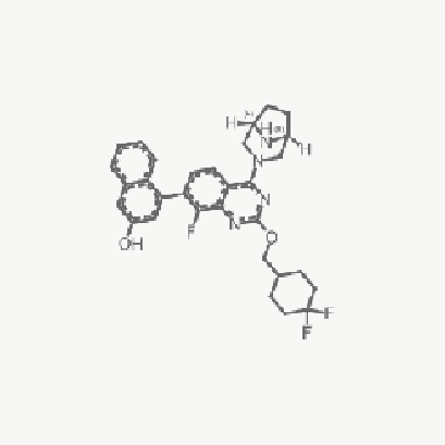 Oc1cc(-c2ccc3c(N4C[C@H]5CC[C@@H](C4)N5)nc(OCC4CCC(F)(F)CC4)nc3c2F)c2ccccc2c1